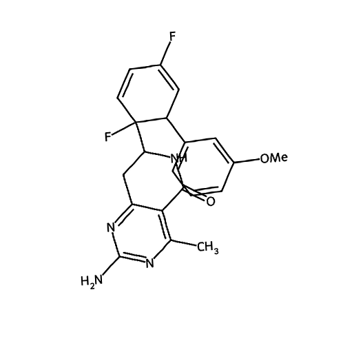 COc1cccc(C2C=C(F)C=CC2(F)C2Cc3nc(N)nc(C)c3C(=O)N2)c1